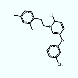 Cc1ccc(CCN2C=C(Oc3cccc(C(F)(F)F)c3)C=CC2Cl)c(C)c1